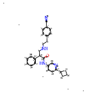 N#Cc1ccc(CCNCC(C(=O)Nc2ccc(C3CCC3)nc2)c2ccccc2)cc1